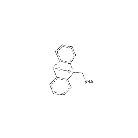 CNCC12CCC(c3ccccc31)c1ccccc12